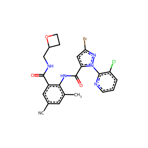 Cc1cc(C#N)cc(C(=O)NCC2CCO2)c1NC(=O)c1cc(Br)nn1-c1ncccc1Cl